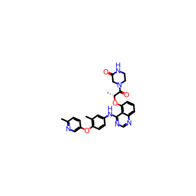 Cc1ccc(Oc2ccc(Nc3ncnc4cccc(O[C@H](C)C(=O)N5CCNC(=O)C5)c34)cc2C)cn1